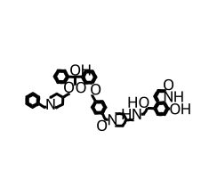 O=C(c1ccc(COc2cccc(C(O)(C(=O)OCC3CCN(Cc4ccccc4)CC3)c3ccccc3)c2)cc1)N1CCC(CNCC(O)c2ccc(O)c3[nH]c(=O)ccc23)CC1